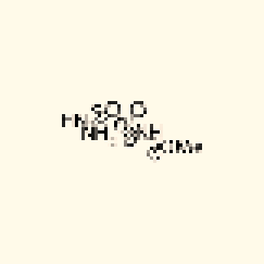 COC(=O)CCNC(=O)C(Oc1cccc2sc(C(=N)N)cc12)c1ccccc1